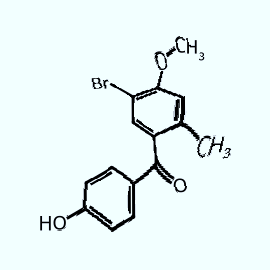 COc1cc(C)c(C(=O)c2ccc(O)cc2)cc1Br